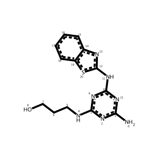 Nc1nc(NCCCO)nc(Nc2nc3ccccc3s2)n1